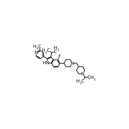 Cc1cc(-c2[nH]c3ccc(C4CCN(CC5CCN(C(C)C)CC5)CC4)c(F)c3c2C(C)C)ccn1